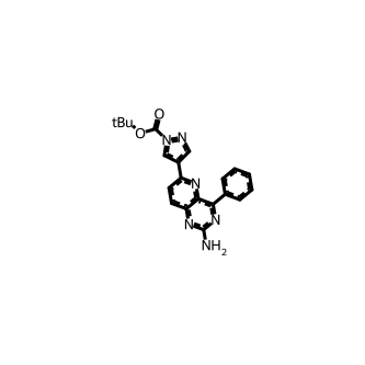 CC(C)(C)OC(=O)n1cc(-c2ccc3nc(N)nc(-c4ccccc4)c3n2)cn1